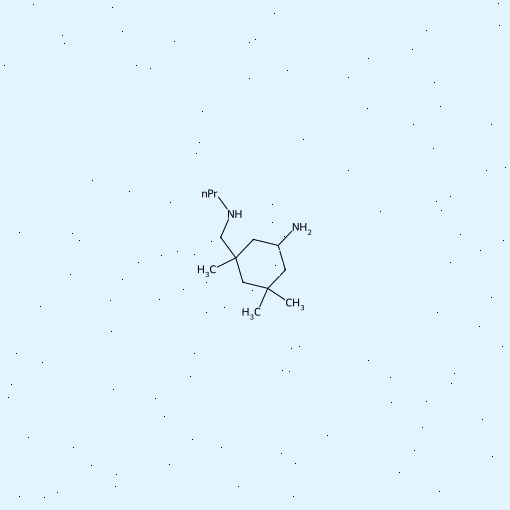 CCCNCC1(C)CC(N)CC(C)(C)C1